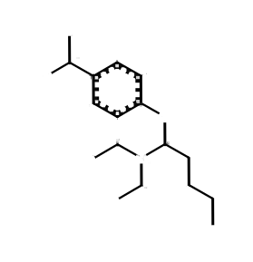 CCCCC(Oc1ccc(C(C)O)cc1)N(CC)CC